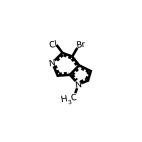 Cn1ccc2c(Br)c(Cl)ncc21